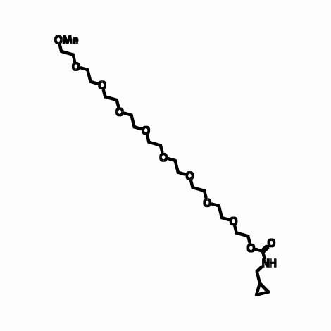 COCCOCCOCCOCCOCCOCCOCCOCCOCCOC(=O)NCC1CC1